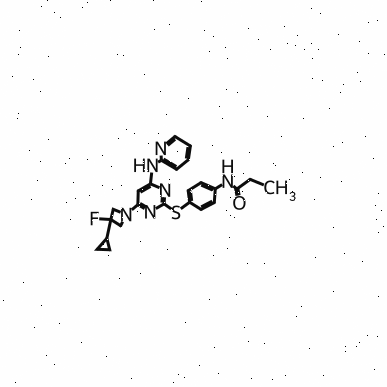 CCC(=O)Nc1ccc(Sc2nc(Nc3ccccn3)cc(N3CC(F)(C4CC4)C3)n2)cc1